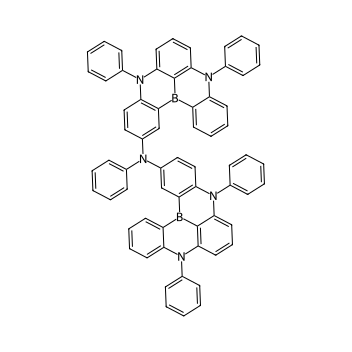 c1ccc(N(c2ccc3c(c2)B2c4ccccc4N(c4ccccc4)c4cccc(c42)N3c2ccccc2)c2ccc3c(c2)B2c4ccccc4N(c4ccccc4)c4cccc(c42)N3c2ccccc2)cc1